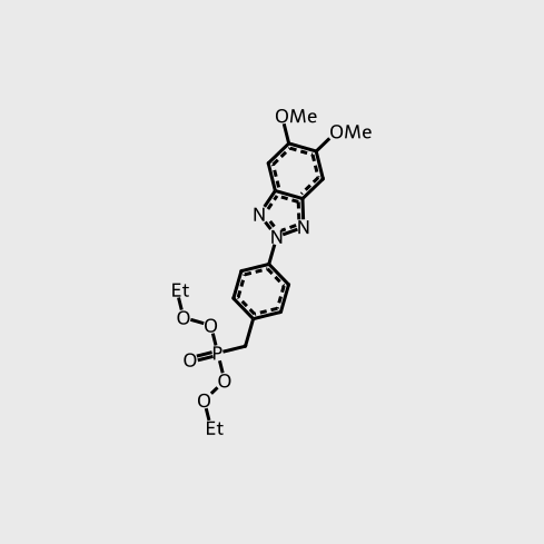 CCOOP(=O)(Cc1ccc(-n2nc3cc(OC)c(OC)cc3n2)cc1)OOCC